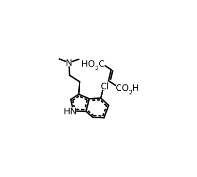 CN(C)CCc1c[nH]c2cccc(Cl)c12.O=C(O)C=CC(=O)O